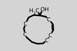 CC1(O)CCC=CCCCCCCCCCCC1